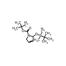 CC(C)(C)OC(=O)N1CC=CC1O[Si](C)(C)C(C)(C)C